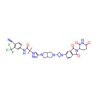 CC(C)(C(=O)Nc1ccc(C#N)c(C(F)(F)F)c1)n1cc(N2CC3CN(C4CN(c5ccc6c(c5)C(=O)N(C5CCC(=O)NC5=O)C6=O)C4)CC3C2)cn1